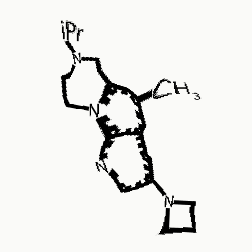 Cc1c2n(c3ncc(N4CCC4)cc13)CCN(C(C)C)C2